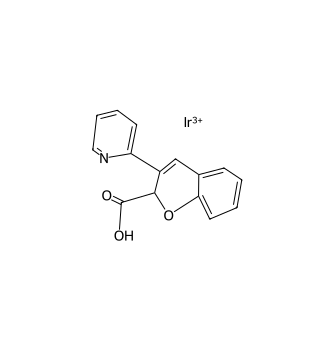 O=C(O)C1Oc2ccccc2C=C1c1ccccn1.[Ir+3]